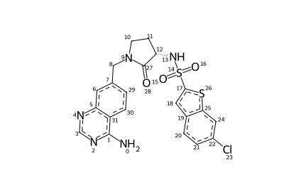 Nc1ncnc2cc(CN3CC[C@H](NS(=O)(=O)c4cc5ccc(Cl)cc5s4)C3=O)ccc12